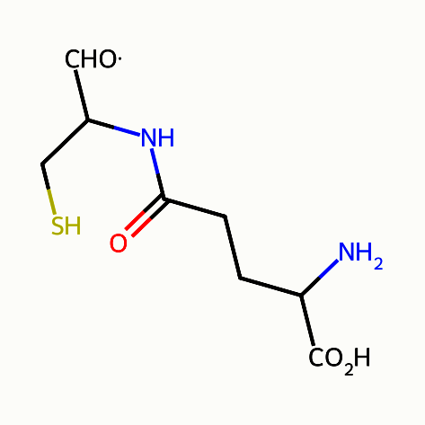 NC(CCC(=O)NC([C]=O)CS)C(=O)O